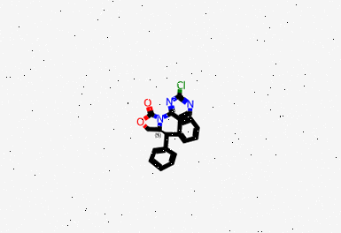 O=C1OC[C@H](C(c2ccccc2)c2ccccc2)N1c1ccnc(Cl)n1